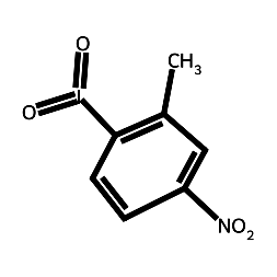 Cc1cc([N+](=O)[O-])ccc1I(=O)=O